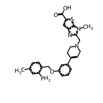 Cc1ccc(COc2cccc(C3=CCN(Cc4nc5cc(C(=O)O)sc5n4C)CC3)c2)c(P)c1